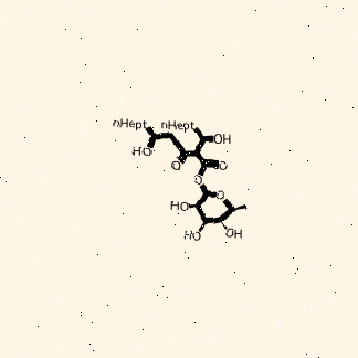 CCCCCCCC(O)CC(=O)C(C(=O)OC1O[C@@H](C)[C@H](O)[C@@H](O)[C@H]1O)C(O)CCCCCCC